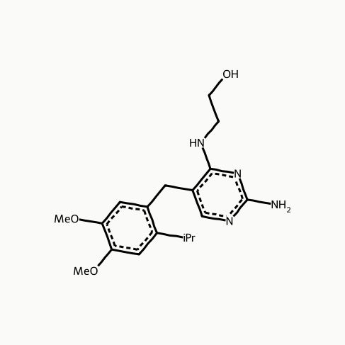 COc1cc(Cc2cnc(N)nc2NCCO)c(C(C)C)cc1OC